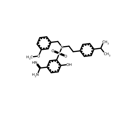 COc1cccc(CN(CCc2ccc(C(C)C)cc2)S(=O)(=O)c2cc(C(=N)N)ccc2O)c1